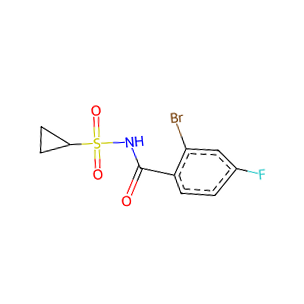 O=C(NS(=O)(=O)C1CC1)c1ccc(F)cc1Br